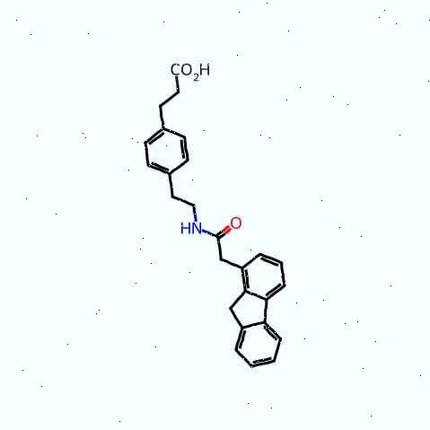 O=C(O)CCc1ccc(CCNC(=O)Cc2cccc3c2Cc2ccccc2-3)cc1